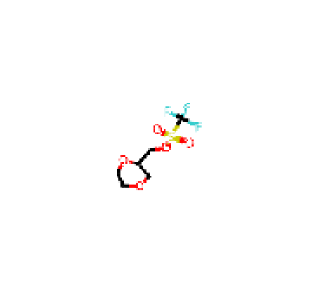 O=S(=O)(OCC1COCCO1)C(F)(F)F